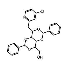 OCC1OC(c2ccccc2)OC2C(Cc3cc(Cl)ccn3)OC(c3ccccc3)OC12